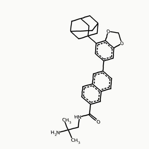 CC(C)(N)CNC(=O)c1ccc2cc(-c3cc4c(c(C56CC7CC(CC(C7)C5)C6)c3)OCO4)ccc2c1